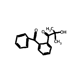 CC(C)(O)C(=O)c1ccccc1C(=O)c1ccccc1